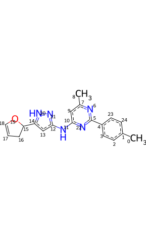 Cc1ccc(-c2nc(C)cc(Nc3cc(C4CC=CO4)[nH]n3)n2)cc1